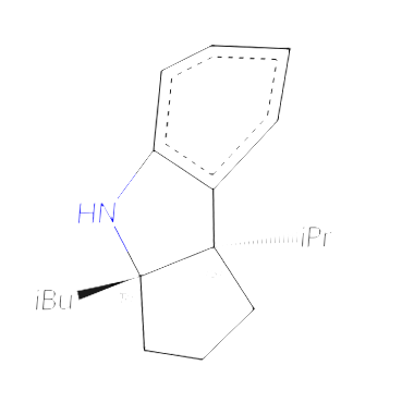 CCC(C)[C@]12CCC[C@]1(C(C)C)c1ccccc1N2